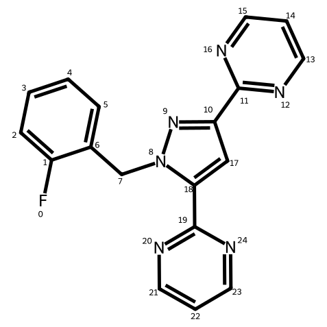 Fc1ccccc1Cn1nc(-c2ncccn2)cc1-c1ncccn1